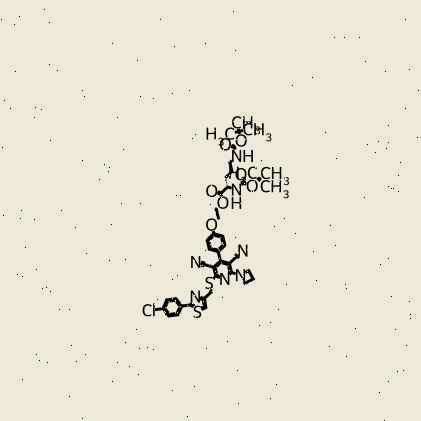 CC(C)(C)OC(=O)NCCC[C@H](NC(=O)OC(C)(C)C)C(=O)OCCOc1ccc(-c2c(C#N)c(SCc3csc(-c4ccc(Cl)cc4)n3)nc(N3CCC3)c2C#N)cc1